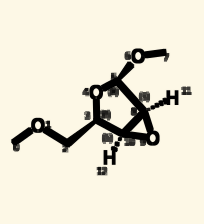 COC[C@H]1O[C@@H](OC)[C@H]2O[C@H]21